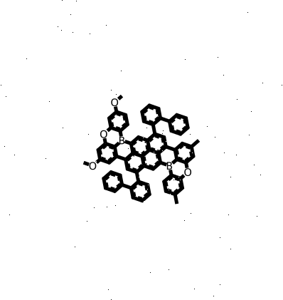 COc1ccc2c(c1)Oc1cc(OC)cc3c1B2c1cc2c(-c4ccccc4-c4ccccc4)cc4c5c(cc6c(-c7ccccc7-c7ccccc7)cc-3c1c6c25)B1c2ccc(C)cc2Oc2cc(C)cc-4c21